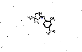 Cc1cc([N+](=O)[O-])ccc1/N=C1/NCC(C)(C)S1